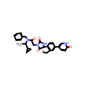 CC(C1CC1)N(Cc1ccccc1)C(=O)CN1C(=O)N[C@]2(CCc3cc(-c4ccc(=O)[nH]c4)ccc32)C1=O